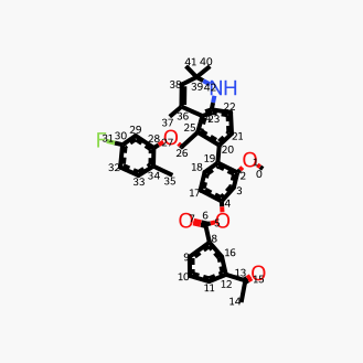 COc1cc(OC(=O)c2cccc(C(C)=O)c2)ccc1-c1ccc2c(c1COc1cc(F)ccc1C)C(C)=CC(C)(C)N2